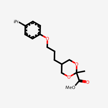 COC(=O)C1(C)OCC(CCCOc2ccc(C(C)C)cc2)CO1